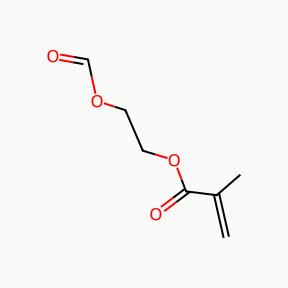 C=C(C)C(=O)OCCOC=O